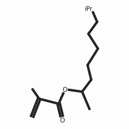 C=C(C)C(=O)OC(C)CCCCCC(C)C